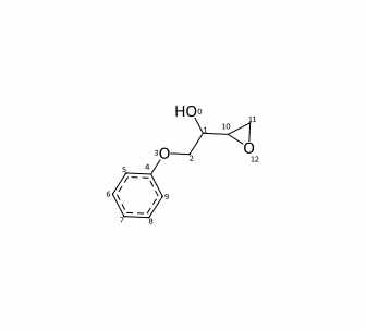 OC(COc1ccccc1)C1CO1